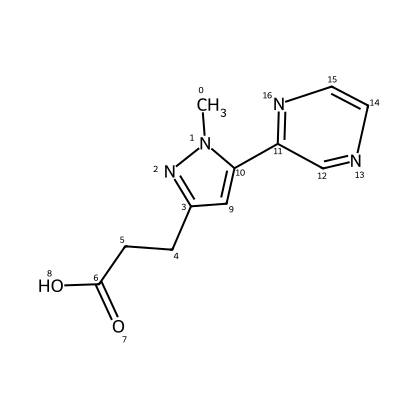 Cn1nc(CCC(=O)O)cc1-c1cnccn1